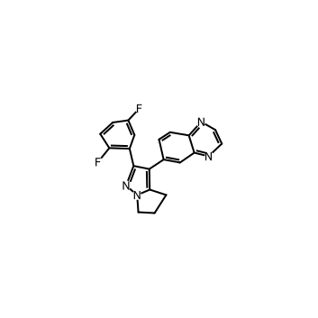 Fc1ccc(F)c(-c2nn3c(c2-c2ccc4nccnc4c2)CCC3)c1